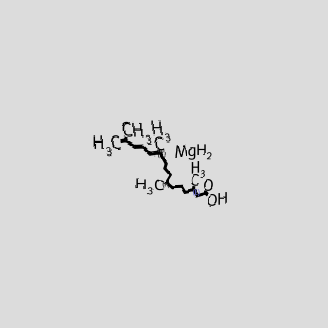 C/C(=C\C(=O)O)CCC[C@H](C)CCC[C@H](C)CCCC(C)C.[MgH2]